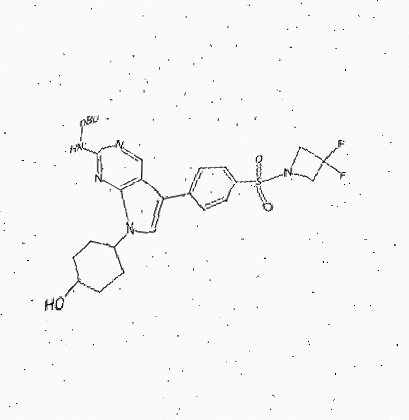 CCCCNc1ncc2c(-c3ccc(S(=O)(=O)N4CC(F)(F)C4)cc3)cn(C3CCC(O)CC3)c2n1